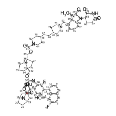 C#Cc1c(F)ccc2cccc(-c3ncc4c(N5CC6CCC(C5)N6C(=O)OC(C)(C)C)nc(OC[C@@]56CCCN5[C@H](COC(=O)N5CCC(CCC7CCN(Cc8cccc9c8n(C)c(=O)n9C8CCC(=O)NC8=O)CC7)CC5)CC6)nc4c3F)c12